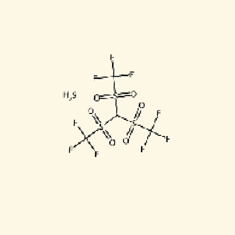 O=S(=O)(C(S(=O)(=O)C(F)(F)F)S(=O)(=O)C(F)(F)F)C(F)(F)F.S